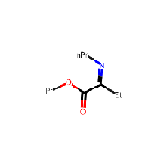 CCC/N=C(/CC)C(=O)OC(C)C